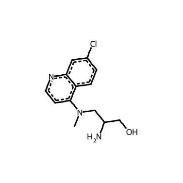 CN(CC(N)CO)c1ccnc2cc(Cl)ccc12